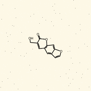 O=c1oc2cc3occc3cc2cc1CO